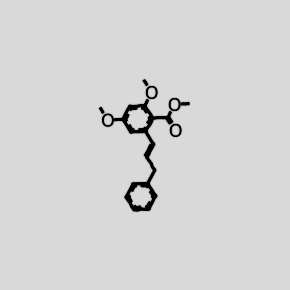 COC(=O)c1c(C=CCc2ccccc2)cc(OC)cc1OC